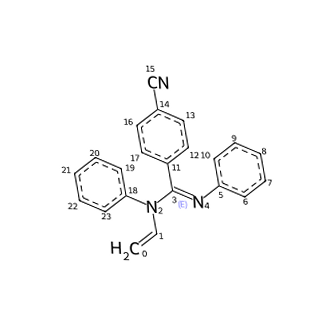 C=CN(/C(=N/c1ccccc1)c1ccc(C#N)cc1)c1ccccc1